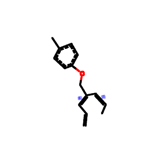 C=C/C=C(\C=C/C)COc1ccc(C)cc1